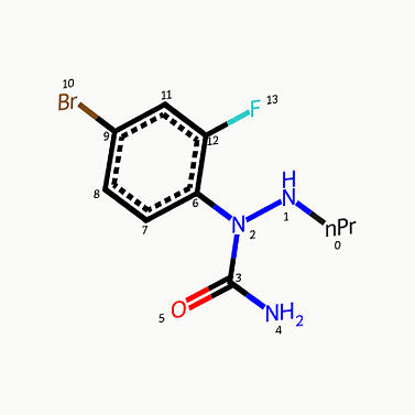 CCCNN(C(N)=O)c1ccc(Br)cc1F